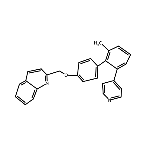 Cc1cccc(-c2ccncc2)c1-c1ccc(OCc2ccc3ccccc3n2)cc1